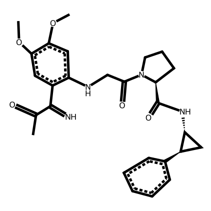 COc1cc(NCC(=O)N2CCC[C@H]2C(=O)N[C@@H]2C[C@H]2c2ccccc2)c(C(=N)C(C)=O)cc1OC